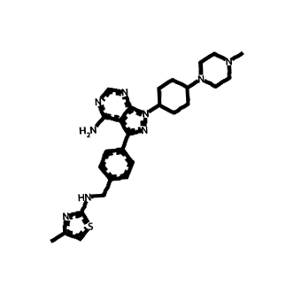 Cc1csc(NCc2ccc(-c3nn(C4CCC(N5CCN(C)CC5)CC4)c4ncnc(N)c34)cc2)n1